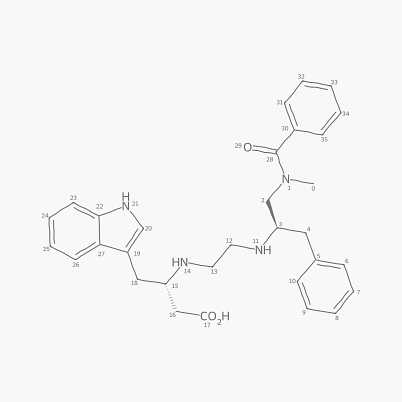 CN(C[C@@H](Cc1ccccc1)NCCN[C@H](CC(=O)O)Cc1c[nH]c2ccccc12)C(=O)c1ccccc1